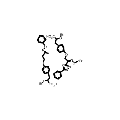 CCCON=C(COc1ccc(CC(OCC)C(=O)O)cc1)c1nnc(-c2ccccc2)o1.CCOC(Cc1ccc(OCC/C(C)=N/Oc2ccccc2)cc1)C(=O)O